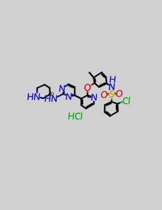 Cc1ccc(NS(=O)(=O)c2ccccc2Cl)cc1Oc1ncccc1-c1ccnc(N[C@H]2CCCNC2)n1.Cl